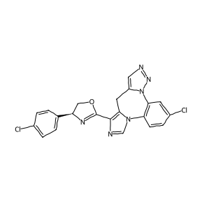 Clc1ccc([C@H]2COC(c3ncn4c3Cc3cnnn3-c3cc(Cl)ccc3-4)=N2)cc1